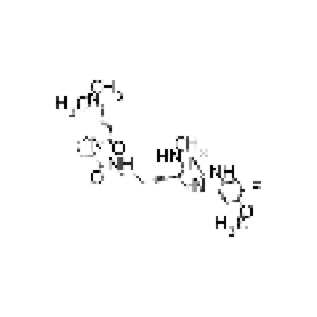 CNc1nc(Nc2ccc(OC)c(F)c2)ncc1C#CCCCNC(=O)[C@@H]1CCCN1C(=O)/C=C/CN(C)C